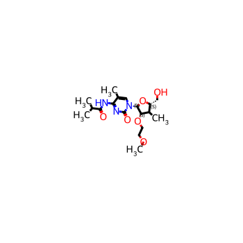 COCCO[C@H]1C(C)[C@@H](CO)O[C@H]1n1cc(C)c(NC(=O)C(C)C)nc1=O